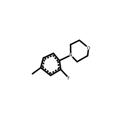 Cc1ccc(N2CCOCC2)c(F)c1